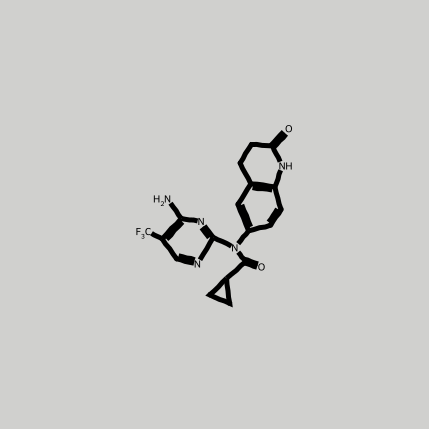 Nc1nc(N(C(=O)C2CC2)c2ccc3c(c2)CCC(=O)N3)ncc1C(F)(F)F